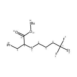 CCC(F)(F)CCCSC(CC(C)C)C(=O)OC(C)(C)C